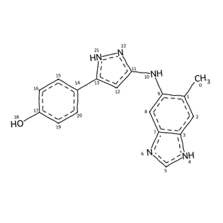 Cc1cc2[nH]cnc2cc1Nc1cc(-c2ccc(O)cc2)[nH]n1